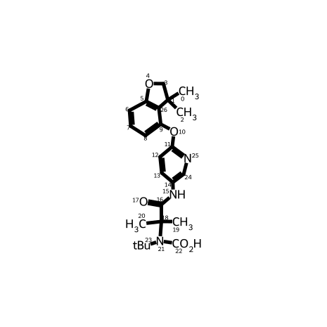 CC1(C)COc2cccc(Oc3ccc(NC(=O)C(C)(C)N(C(=O)O)C(C)(C)C)cn3)c21